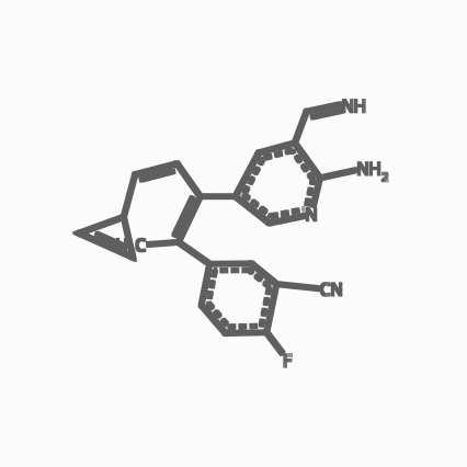 C/C(=C(\C=C/C1C=C1)c1cnc(N)c(C=N)c1)c1ccc(F)c(C#N)c1